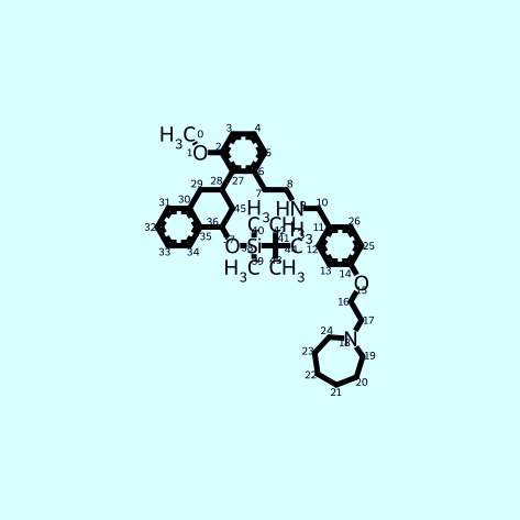 COc1cccc(CCNCc2ccc(OCCN3CCCCCC3)cc2)c1C1Cc2ccccc2C(O[Si](C)(C)C(C)(C)C)C1